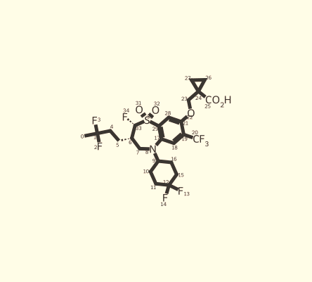 CC(F)(F)CC[C@H]1CN(C2CCC(F)(F)CC2)c2cc(C(F)(F)F)c(OCC3(C(=O)O)CC3)cc2S(=O)(=O)[C@H]1F